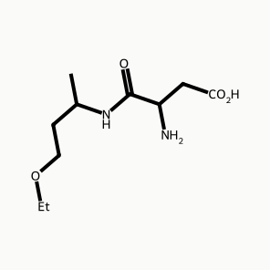 CCOCCC(C)NC(=O)C(N)CC(=O)O